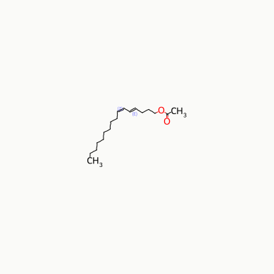 CCCCCCCCC/C=C\C=C\CCCOC(C)=O